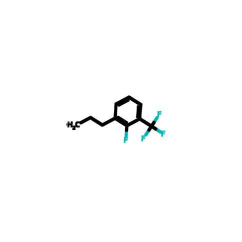 [CH2]CCc1cccc(C(F)(F)F)c1F